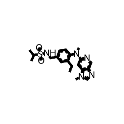 CCc1cc(CNS(=O)(=O)C(C)C)ccc1N(C)c1cc2c(cn1)ncn2C